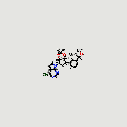 CCOC(C)(OC)c1cccc([C@H]2C[C@@H](n3ccc4c(Cl)ncnc43)[C@@H]3OC(C)(C)O[C@@H]32)c1